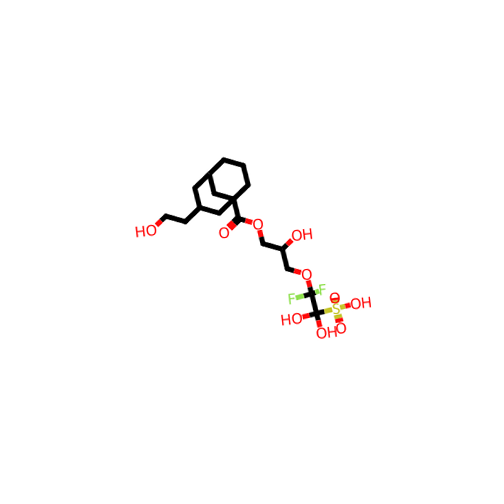 O=C(OCC(O)COC(F)(F)C(O)(O)S(=O)(=O)O)C12CCCC(CC(CCO)C1)C2